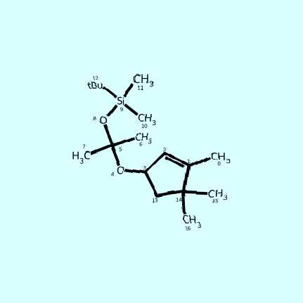 CC1=CC(OC(C)(C)O[Si](C)(C)C(C)(C)C)CC1(C)C